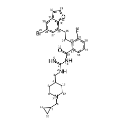 N=C(NCC1CCN(CC2CC2)CC1)NC(=O)c1cccc(F)c1CCc1cc(Br)cc2ccoc12